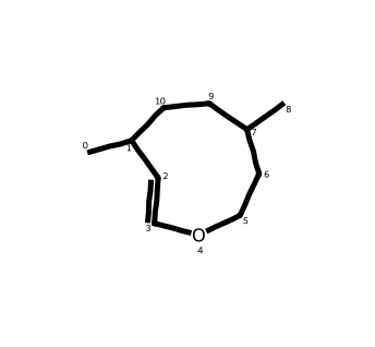 CC1/C=C/OCCC(C)CC1